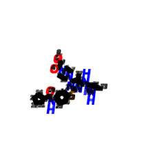 COCC(=O)N1CCN(c2nc(Sc3ccc(NC(=O)C4CCCC4)cc3)nc(Nc3cc(C)[nH]n3)c2C)CC1